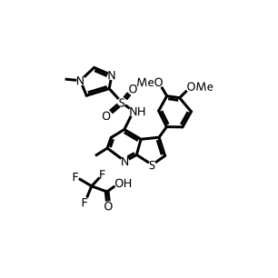 COc1ccc(-c2csc3nc(C)cc(NS(=O)(=O)c4cn(C)cn4)c23)cc1OC.O=C(O)C(F)(F)F